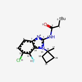 CC(C)(C)CC(=O)Nc1nc2ccc(Cl)c(F)c2n1C1(C)CCC1